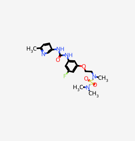 Cc1ccc(NC(=O)Nc2cc(F)cc(OCCN(C)S(=O)(=O)N(C)C)c2)cn1